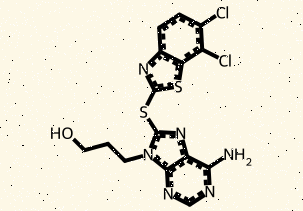 Nc1ncnc2c1nc(Sc1nc3ccc(Cl)c(Cl)c3s1)n2CCCO